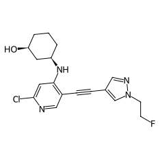 O[C@H]1CCC[C@@H](Nc2cc(Cl)ncc2C#Cc2cnn(CCF)c2)C1